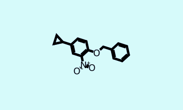 O=[N+]([O-])c1cc(C2CC2)ccc1OCc1ccccc1